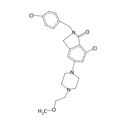 COCCN1CCN(c2cc(Cl)c3c(c2)CN(Cc2ccc(Cl)cc2)C3=O)CC1